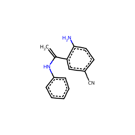 C=C(Nc1ccccc1)c1cc(C#N)ccc1N